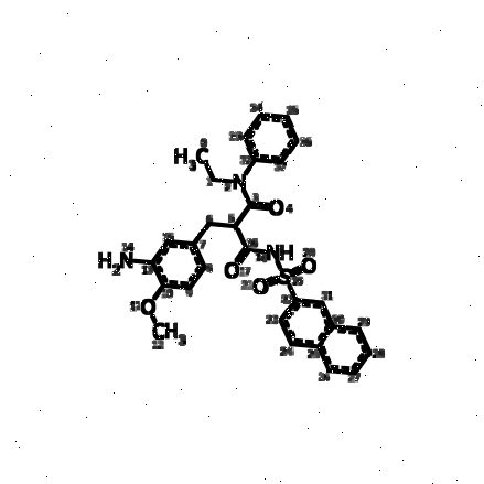 CCN(C(=O)C(Cc1ccc(OC)c(N)c1)C(=O)NS(=O)(=O)c1ccc2ccccc2c1)c1ccccc1